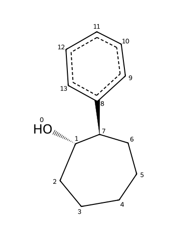 O[C@H]1CCCCC[C@@H]1c1ccccc1